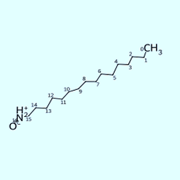 CCCCCCCCCCCCCCCC[NH2+][O-]